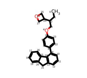 CCC(COc1ccc(-c2cccc3c2-c2ccccc2C3)cc1)C1COC1